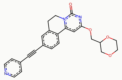 O=c1nc(OCC2COCCO2)cc2n1CCc1cc(C#Cc3ccncc3)ccc1-2